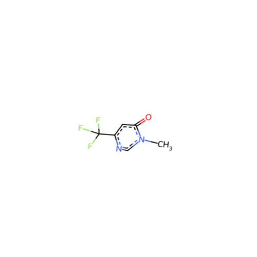 Cn1cnc(C(F)(F)F)cc1=O